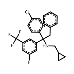 Fc1cc(C(F)(F)F)cc(C(Cc2ccccc2)(NCC2CC2)c2ccc(Cl)cn2)c1